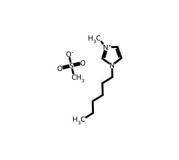 CCCCCCn1cc[n+](C)c1.CS(=O)(=O)[O-]